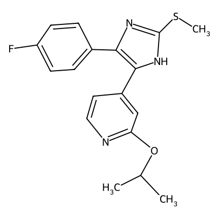 CSc1nc(-c2ccc(F)cc2)c(-c2ccnc(OC(C)C)c2)[nH]1